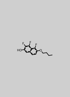 CCCCOc1ccc2cc(O)c(F)c(F)c2c1F